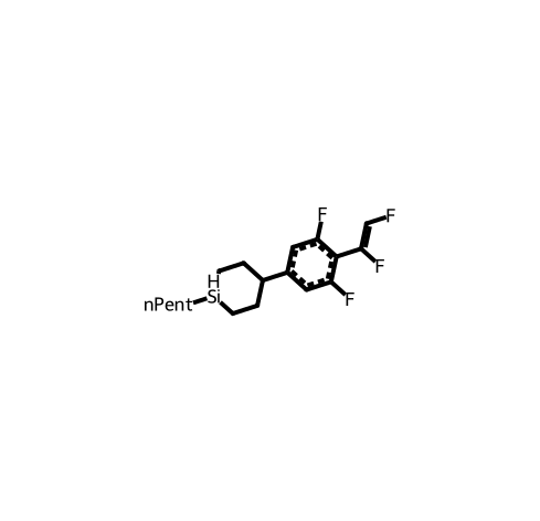 CCCCC[SiH]1CCC(c2cc(F)c(C(F)=CF)c(F)c2)CC1